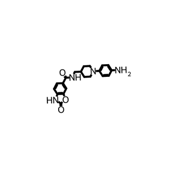 Nc1ccc(N2CCC(CNC(=O)c3ccc4[nH]c(=O)oc4c3)CC2)cc1